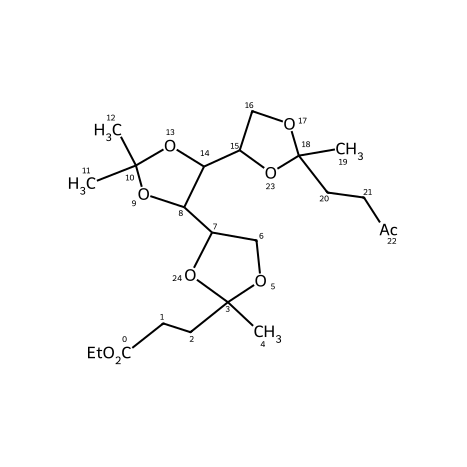 CCOC(=O)CCC1(C)OCC(C2OC(C)(C)OC2C2COC(C)(CCC(C)=O)O2)O1